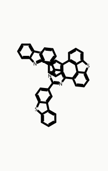 c1ccc(-c2nc(-c3ccc4sc5ccccc5c4c3)nc(-c3cccc4sc5cccc(-c6cccc(-c7nc8ccccc8s7)c6)c5c34)n2)cc1